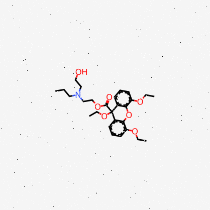 CCCN(CCO)CCOC(=O)C1(OCC)c2cccc(OCC)c2Oc2c(OCC)cccc21